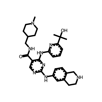 CN1CCC(CNC(=O)c2cnc(Nc3ccc4c(c3)CCNC4)nc2Nc2cccc(C(C)(C)O)n2)CC1